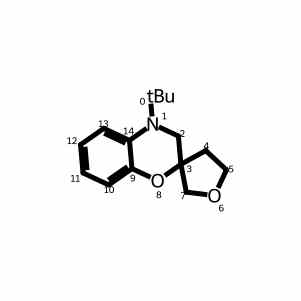 CC(C)(C)N1CC2(CCOC2)Oc2ccccc21